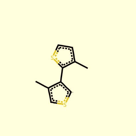 Cc1cs[c]c1-c1sccc1C